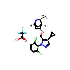 C[C@H]1N[C@H]2C[C@@H]1[C@H](OCc1c(C3CC3)cnn1-c1c(Cl)cccc1Cl)C2.O=C(O)C(F)(F)F